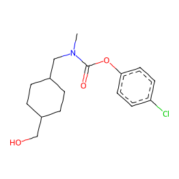 CN(CC1CCC(CO)CC1)C(=O)Oc1ccc(Cl)cc1